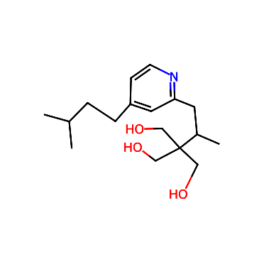 CC(C)CCc1ccnc(CC(C)C(CO)(CO)CO)c1